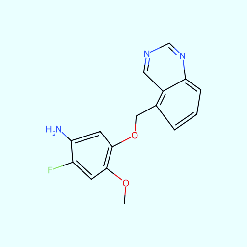 COc1cc(F)c(N)cc1OCc1cccc2ncncc12